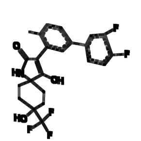 Cc1ccc(-c2ccc(F)c(F)c2)cc1C1=C(O)C2(CCC(O)(C(F)(F)F)CC2)NC1=O